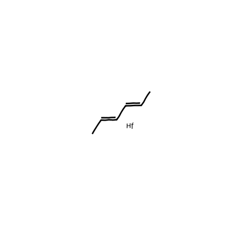 CC=CC=CC.[Hf]